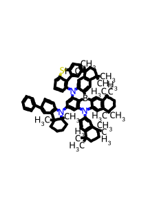 CC1(C)CCC(C)(C)c2cc(N3c4cc5c(cc4B4c6cc7c(cc6N(c6cccc8sc9ccccc9c68)c6cc(N8c9ccc(-c%10ccccc%10)cc9C9(C)CCCCC89C)cc3c64)C(C)(C)CCC7(C)C)C(C)(C)CCC5(C)C)ccc21